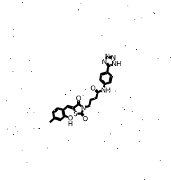 Cc1ccc(/C=C2\SC(=O)N(CCCC(=O)Nc3ccc(-c4nnn[nH]4)cc3)C2=O)c(O)c1